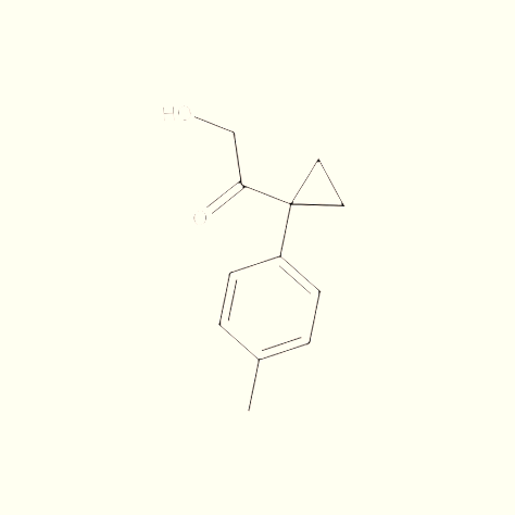 Cc1ccc(C2(C(=O)CO)CC2)cc1